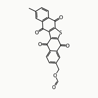 Cc1ccc2c(=O)c3sc4c(=O)c5cc(COC=O)ccc5c(=O)c4c3c(=O)c2c1